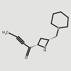 CC#CC(=O)[C@@H]1C[C@H](CN2CCCCC2)N1